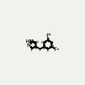 Fc1cc(F)cc(Cc2cn[nH]c2)c1